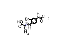 CC(=O)Nc1ccc(N/N=C(\C)C(=O)O)c(Br)c1